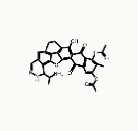 CC(=O)Oc1cc2c(c(OC(C)=O)c1C)C(=O)c1c(O)c3c4c(oc5c6c(cc(c54)CC3)C=NNC6C(C)N)c1C2=O